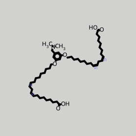 CN(C)Cc1cc(OCCCCCCCC/C=C\C/C=C\CCCCCCCC(=O)O)cc(OCCCCCCCC/C=C\C/C=C\CCCCCCCC(=O)O)c1